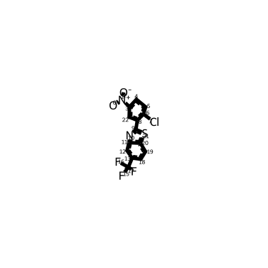 O=[N+]([O-])c1ccc(Cl)c(-c2nc3cc(C(F)(F)F)ccc3s2)c1